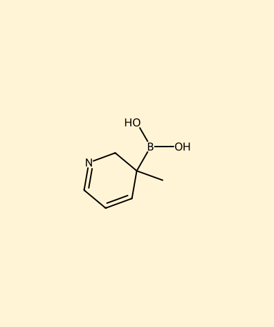 CC1(B(O)O)C=CC=NC1